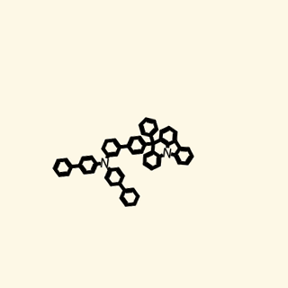 C1=CC(C2C=CC(N(C3=CC(c4ccc(C5(c6ccccc6)c6ccccc6-n6c7ccccc7c7cccc5c76)cc4)=CCC3)c3ccc(-c4ccccc4)cc3)=CC2)=CCC1